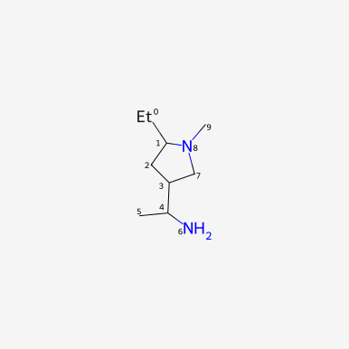 CCC1CC(C(C)N)CN1C